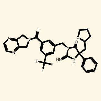 N=C1NC(CC2CCCO2)(c2ccccc2)C(=O)N1Cc1cc(C(=O)N2Cc3nccnc3C2)cc(C(F)(F)F)c1